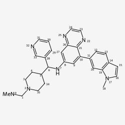 CNCN1CCC(C(Nc2cc(-c3ccc4ccn(C)c4c3)c3nccnc3c2)c2cccnc2)CC1